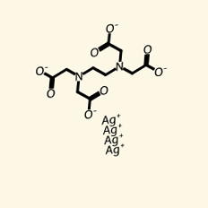 O=C([O-])CN(CCN(CC(=O)[O-])CC(=O)[O-])CC(=O)[O-].[Ag+].[Ag+].[Ag+].[Ag+]